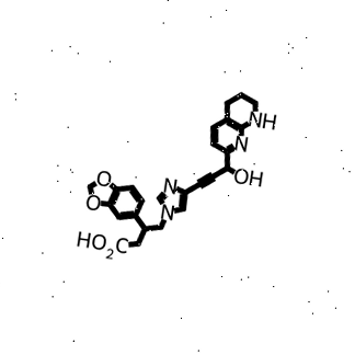 O=C(O)CC(Cn1cnc(C#CC(O)c2ccc3c(n2)NCCC3)c1)c1ccc2c(c1)OCO2